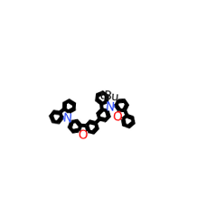 CC(C)(C)c1ccc2c(oc3ccccc32)c1-n1c2ccccc2c2cc(-c3ccc4oc5ccc(-n6c7ccccc7c7ccccc76)cc5c4c3)ccc21